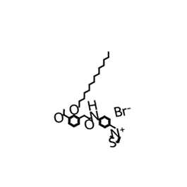 CCCCCCCCCCCCCCOc1c(CC(=O)Nc2ccc(C[n+]3ccsc3)cc2)cccc1C(C)=O.[Br-]